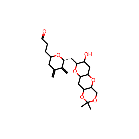 C=C1CC(CCC=O)O[C@H](CC2OC3CC4OC(C)(C)OCC4OC3CC2O)C1=C